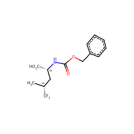 C[C@H](C[C@@H](NC(=O)OCc1ccccc1)C(=O)O)C(F)(F)F